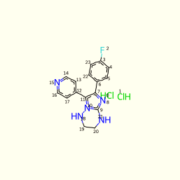 Cl.Cl.Fc1ccc(-c2nc3n(c2-c2ccncc2)NCCN3)cc1